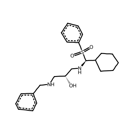 O=S(=O)(c1ccccc1)[C@H](NC[C@H](O)CNCc1ccccc1)C1CCCCC1